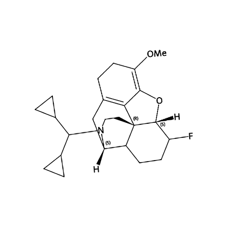 COC1=C2O[C@@H]3C(F)CCC4[C@@H]5CC(=C2[C@@]43CCN5C(C2CC2)C2CC2)CC1